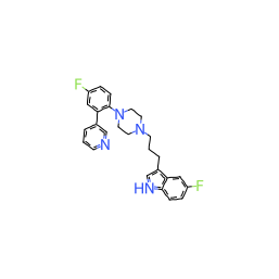 Fc1ccc(N2CCN(CCCc3c[nH]c4ccc(F)cc34)CC2)c(-c2cccnc2)c1